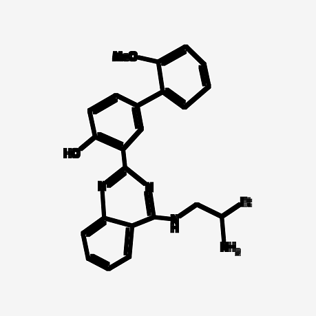 CCC(N)CNc1nc(-c2cc(-c3ccccc3OC)ccc2O)nc2ccccc12